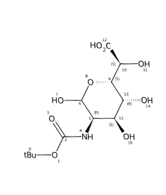 CC(C)(C)OC(=O)N[C@H]1C(O)O[C@H]([C@H](O)C(=O)O)[C@H](O)[C@H]1O